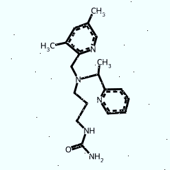 Cc1cnc(CN(CCCNC(N)=O)C(C)c2ccccn2)c(C)c1